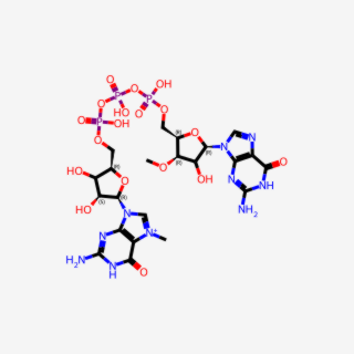 CO[C@@H]1C(O)[C@H](n2cnc3c(=O)[nH]c(N)nc32)O[C@@H]1COP(=O)(O)OP(=O)(O)OP(=O)(O)OC[C@H]1O[C@@H](n2c[n+](C)c3c(=O)[nH]c(N)nc32)[C@@H](O)C1O